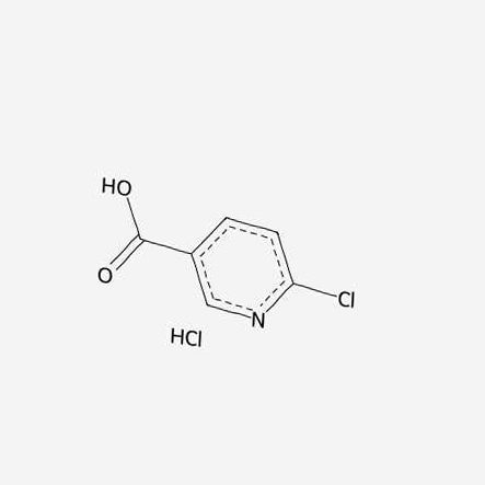 Cl.O=C(O)c1ccc(Cl)nc1